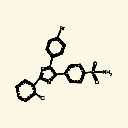 NS(=O)(=O)c1ccc(-c2nc(-c3ccccc3Cl)sc2-c2ccc(Br)cc2)cc1